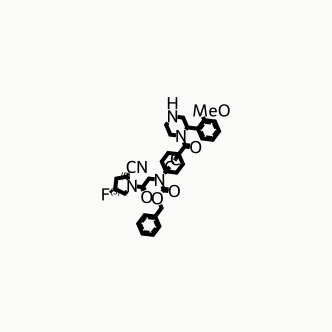 COc1ccccc1C1CNCCN1C(=O)C12CCC(N(CC(=O)N3C[C@@H](F)C[C@H]3C#N)C(=O)OCc3ccccc3)(CC1)CC2